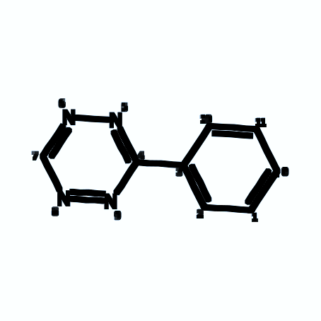 [c]1ccc(-c2nncnn2)cc1